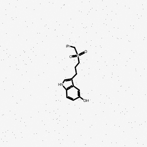 CC(C)CS(=O)(=O)CCCc1c[nH]c2ccc(O)cc12